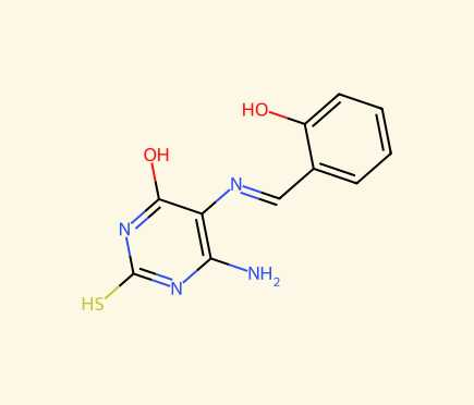 Nc1nc(S)nc(O)c1N=Cc1ccccc1O